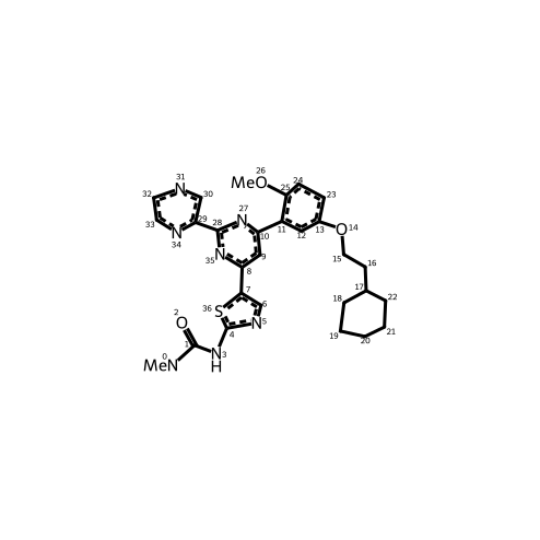 CNC(=O)Nc1ncc(-c2cc(-c3cc(OCCC4CCCCC4)ccc3OC)nc(-c3cnccn3)n2)s1